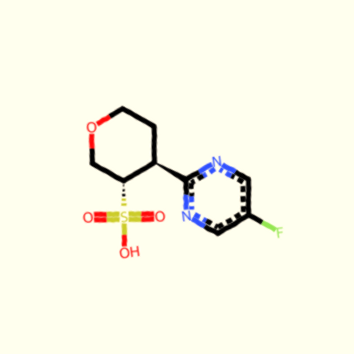 O=S(=O)(O)[C@@H]1COCC[C@H]1c1ncc(F)cn1